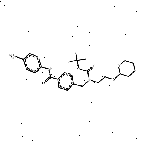 CC(C)(C)OC(=O)N(CCOC1CCCCO1)Cc1ccc(C(=O)Nc2ccc(N)cc2)cc1